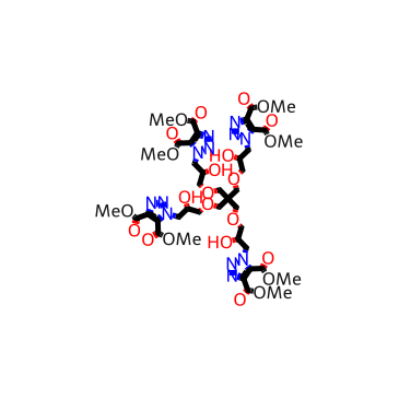 COC(=O)c1nnn(CC(O)COCC(COCC(O)Cn2nnc(C(=O)OC)c2C(=O)OC)(COCC(O)Cn2nnc(C(=O)OC)c2C(=O)OC)COCC(O)Cn2nnc(C(=O)OC)c2C(=O)OC)c1C(=O)OC